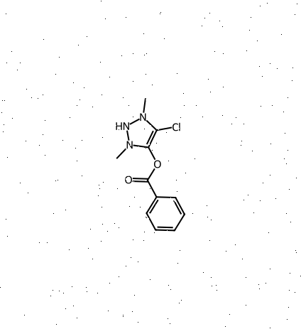 CN1NN(C)C(OC(=O)c2ccccc2)=C1Cl